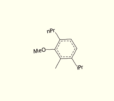 CCCc1ccc(C(C)C)c(C)c1OC